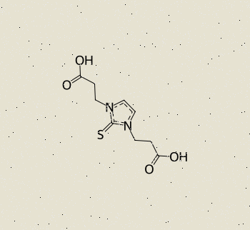 O=C(O)CCn1ccn(CCC(=O)O)c1=S